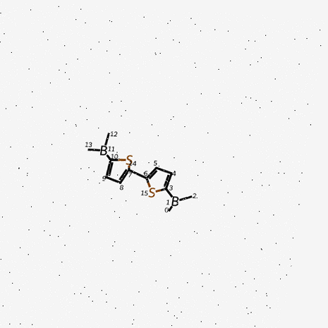 CB(C)c1ccc(-c2ccc(B(C)C)s2)s1